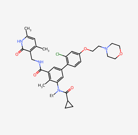 CCN(C(=O)C1CC1)c1cc(-c2ccc(OCCN3CCOCC3)cc2Cl)cc(C(=O)NCc2c(C)cc(C)[nH]c2=O)c1C